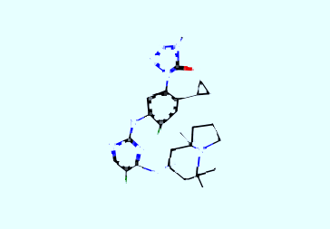 Cn1nnn(-c2cc(Nc3ncc(F)c(N[C@H]4C[C@@H]5CCCN5C(C)(C)C4)n3)c(F)cc2C2CC2)c1=O